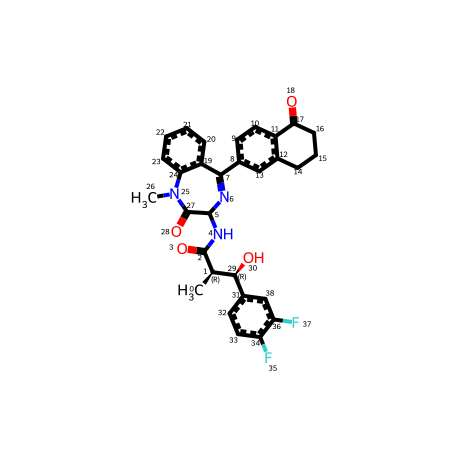 C[C@@H](C(=O)NC1N=C(c2ccc3c(c2)CCCC3=O)c2ccccc2N(C)C1=O)[C@@H](O)c1ccc(F)c(F)c1